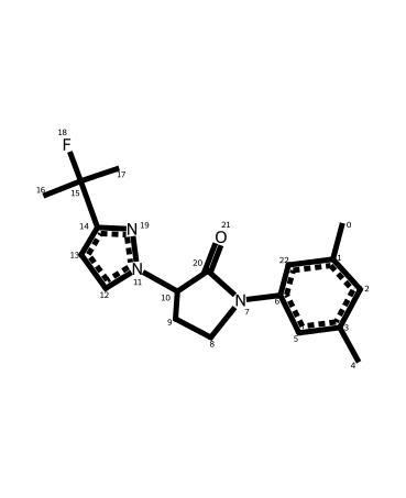 Cc1cc(C)cc(N2CCC(n3ccc(C(C)(C)F)n3)C2=O)c1